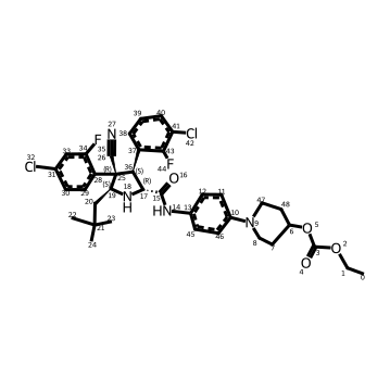 CCOC(=O)OC1CCN(c2ccc(NC(=O)[C@@H]3N[C@@H](CC(C)(C)C)[C@](C#N)(c4ccc(Cl)cc4F)[C@H]3c3cccc(Cl)c3F)cc2)CC1